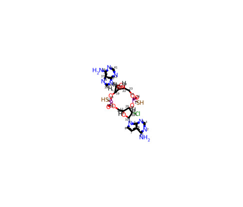 Nc1ncnc2c1ccn2[C@@H]1O[C@@H]2COP(=O)(S)O[C@@H]3[C@H](O)[C@@H](COP(=O)(S)O[C@H]2[C@H]1Cl)O[C@H]3n1cnc2c(N)ncnc21